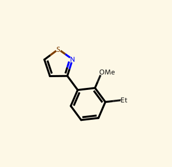 CCc1cccc(-c2ccsn2)c1OC